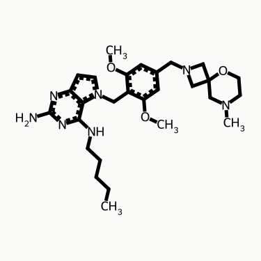 CCCCCNc1nc(N)nc2ccn(Cc3c(OC)cc(CN4CC5(CN(C)CCO5)C4)cc3OC)c12